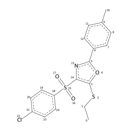 CCSc1oc(-c2ccc(C)cc2)nc1S(=O)(=O)c1ccc(Cl)cc1